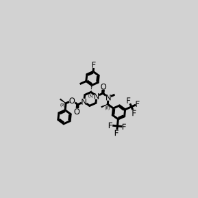 Cc1cc(F)ccc1[C@H]1CN(C(=O)O[C@H](C)c2ccccc2)CCN1C(=O)N(C)[C@H](C)c1cc(C(F)(F)F)cc(C(F)(F)F)c1